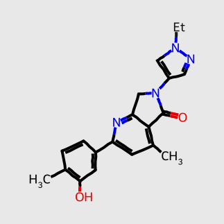 CCn1cc(N2Cc3nc(-c4ccc(C)c(O)c4)cc(C)c3C2=O)cn1